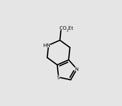 CCOC(=O)C1Cc2ncsc2CN1